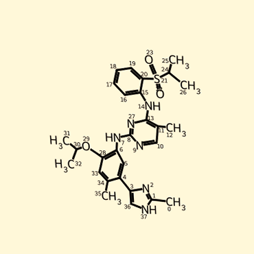 Cc1nc(-c2cc(Nc3ncc(C)c(Nc4ccccc4S(=O)(=O)C(C)C)n3)c(OC(C)C)cc2C)c[nH]1